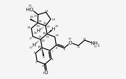 C[C@]12CCC(=O)C=C1C(=COCCN)C[C@@H]1[C@@H]2CC[C@]2(C)C(O)CC[C@@H]12